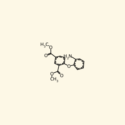 COC(=O)c1ccc(Oc2ccccc2N)c(C(=O)OC)c1